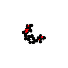 c1ccc(-c2ccccc2N(c2ccc(-c3cccc4c3oc3ccc(-c5cccc(-c6cccc(N(c7ccc(-c8cccc9c8oc8ccccc89)cc7)c7cccc(-c8ccc9c(c8)C8(c%10ccccc%10-9)c9ccc%10ccccc%10c9Oc9c8ccc8ccccc98)c7)c6)c5)cc34)cc2)c2cccc(-c3ccc4c(c3)C3(c5ccccc5-4)c4ccc5ccccc5c4Oc4c3ccc3ccccc43)c2)cc1